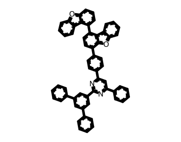 c1ccc(-c2cc(-c3ccccc3)cc(-c3nc(-c4ccccc4)cc(-c4ccc(-c5ccc(-c6cccc7oc8ccccc8c67)c6c5oc5ccccc56)cc4)n3)c2)cc1